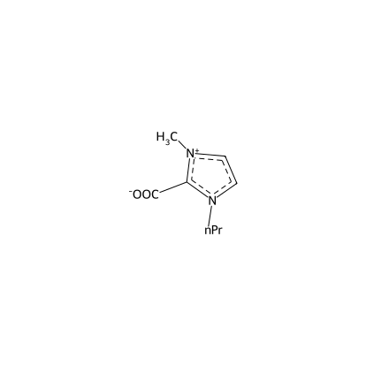 CCCn1cc[n+](C)c1C(=O)[O-]